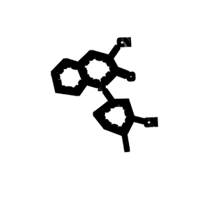 Cc1ccc(-n2c(=O)c(C#N)cc3ccccc32)cc1C#N